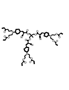 C=CC(=O)CCCN(CCOC(=O)C=C)c1ccc(/C=C(\C#N)C(=O)OCC(C)(COC(=O)/C(C#N)=C/c2ccc(N(CCOC(=O)C=C)CCOC(=O)C=C)cc2)COC(=O)/C(C#N)=C/c2ccc(N(CCOC(=O)C=C)CCOC(=O)C=C)cc2)cc1